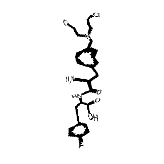 NC(Cc1ccc(N(CCCl)CCCl)cc1)C(=O)NC(Cc1ccc(F)cc1)C(=O)O